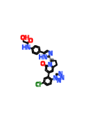 O=C(CO)Nc1ccc(-c2cnc([C@@H]3CCc4cc(-c5cc(Cl)ccc5-n5cnnn5)cc(=O)n43)[nH]2)cc1